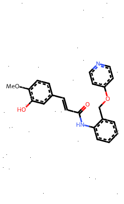 COc1ccc(C=CC(=O)Nc2ccccc2COc2ccncc2)cc1O